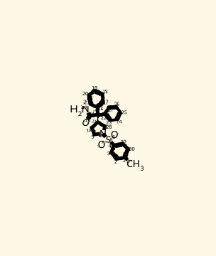 Cc1ccc(S(=O)(=O)N2CC[C@@H](C(C(N)=O)(c3ccccc3)c3ccccc3)C2)cc1